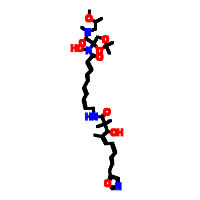 COC(C)CN(C)C(=O)C1(N(O)C(=O)/C=C/C=C/C=C/C=C\CNC(=O)C(C)(C)C(O)\C(C)=C/C=C\C=C\Cc2cnco2)COC(C)(C)O1